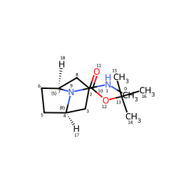 CNC1C[C@H]2CC[C@@H](C1)N2C(=O)OC(C)(C)C